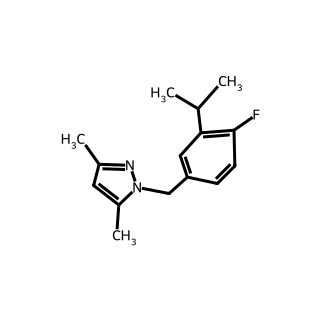 Cc1cc(C)n(Cc2ccc(F)c(C(C)C)c2)n1